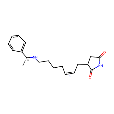 C[C@@H](NCCCC/C=C\CC1CC(=O)NC1=O)c1ccccc1